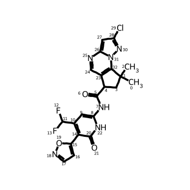 CC1(C)CC(C(=O)Nc2cc(C(F)F)c(-c3ccno3)c(=O)[nH]2)c2cnc3cc(Cl)nn3c21